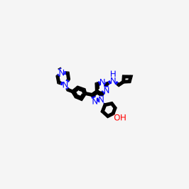 CN1CCN(Cc2ccc(-c3nn([C@H]4CC[C@H](O)CC4)c4nc(NCC5CCC5)ncc34)cc2)CC1